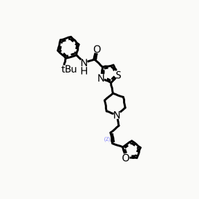 CC(C)(C)c1ccccc1NC(=O)c1csc(C2CCN(C/C=C\c3ccco3)CC2)n1